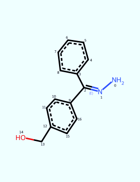 N/N=C(\c1ccccc1)c1ccc(CO)cc1